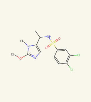 CCOc1ncc(C(C)NS(=O)(=O)c2ccc(Cl)c(Cl)c2)n1CC